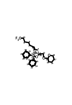 CC(C)(C)[Si](O[C@H](CC=CCCCCC(F)(F)F)COC1CCCCO1)(c1ccccc1)c1ccccc1